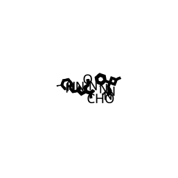 CC1CC(c2cccc(-n3cc(C=O)c4cc(CN5CCC[C@H](C)C5)[nH]c4c3=O)c2)(c2nncn2C)C1